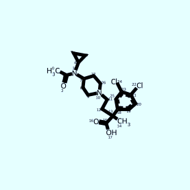 CC(=O)N(C1CC1)C1CCN(CCC(C)(C(=O)O)c2ccc(Cl)c(Cl)c2)CC1